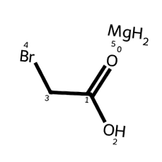 O=C(O)CBr.[MgH2]